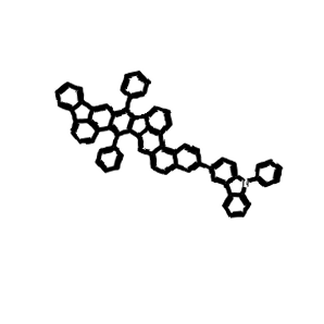 c1ccc(-c2c3cc4c5ccccc5c5cccc(c3c(-c3ccccc3)c3c6cc7ccc8cc(-c9ccc%10c(c9)c9ccccc9n%10-c9ccccc9)ccc8c7c7cccc(c23)c67)c54)cc1